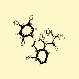 CN(N)C(=O)N(N)c1cccc(Br)c1COc1cc(Cl)c(O)cc1Cl